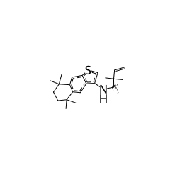 C=CC(C)(C)[C@H](C)Nc1csc2cc3c(cc12)C(C)(C)CCC3(C)C